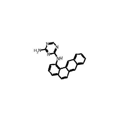 Nc1ncnc(Nc2cccc3ccc4cc5ccccc5cc4c23)n1